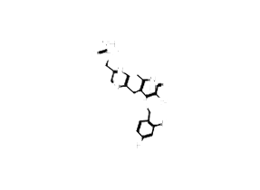 Cc1[nH]c(=O)c(Br)c(OCc2ccc(F)cc2F)c1Cc1cnc(COC(N)=O)cn1